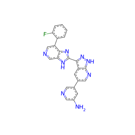 Nc1cncc(-c2cnc3[nH]nc(-c4nc5c(-c6ccccc6F)cncc5[nH]4)c3c2)c1